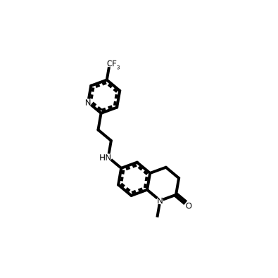 CN1C(=O)CCc2cc(NCCc3ccc(C(F)(F)F)cn3)ccc21